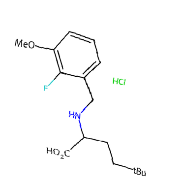 COc1cccc(CNC(CCC(C)(C)C)C(=O)O)c1F.Cl